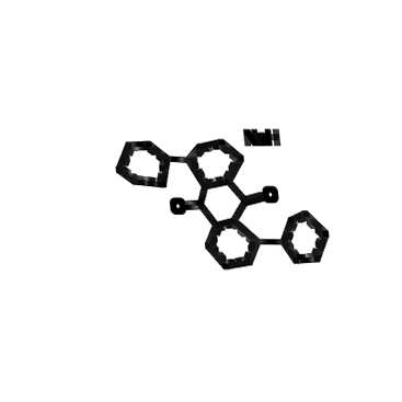 O=C1c2cccc(-c3ccccc3)c2C(=O)c2cccc(-c3ccccc3)c21.[NaH]